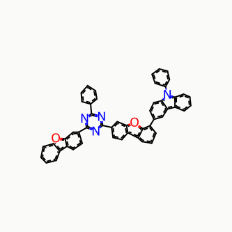 c1ccc(-c2nc(-c3ccc4c(c3)oc3ccccc34)nc(-c3ccc4c(c3)oc3c(-c5ccc6c(c5)c5ccccc5n6-c5ccccc5)cccc34)n2)cc1